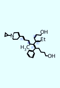 CC/C=C(\C=C/CO)C(/C(C)=C/C=C/C1=CCN(C2CC2)CC1)=C(\CCCCO)c1ccccc1